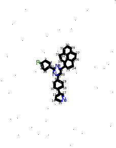 Fc1ccc(-c2nc(-c3ccc(-c4cccnc4)cc3)cc(-c3ccc4ccc5cccc6ccc3c4c56)n2)cc1